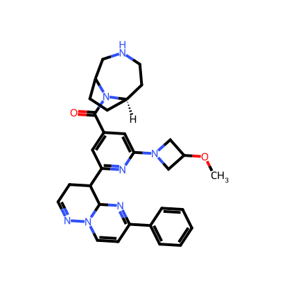 COC1CN(c2cc(C(=O)N3C4CC[C@@H]3CCNC4)cc(C3CC=NN4C=CC(c5ccccc5)=NC34)n2)C1